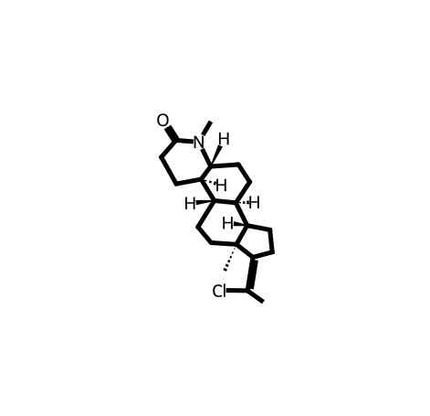 C/C(Cl)=C1\CC[C@H]2[C@@H]3CC[C@@H]4[C@H](CCC(=O)N4C)[C@H]3CC[C@]12C